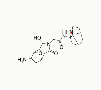 NC1CC2OC1C1C2C(=O)N(CC(=O)NC23CC4CC(CC(C4)N2)C3)C1O